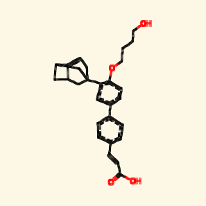 O=C(O)/C=C/c1ccc(-c2ccc(OCCCCO)c(C34CC=C5C(CC5C3)C4)c2)cc1